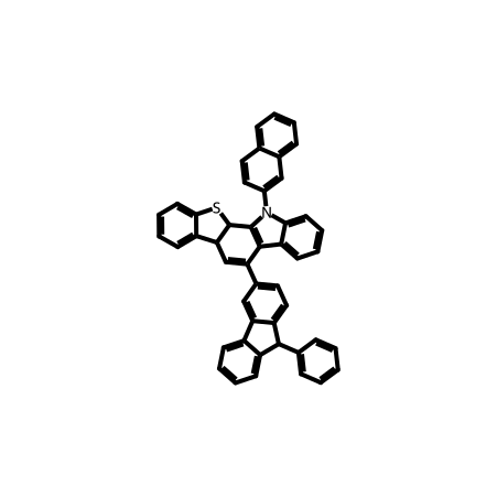 C1=C(c2ccc3c(c2)-c2ccccc2C3c2ccccc2)c2c(n(-c3ccc4ccccc4c3)c3ccccc23)C2Sc3ccccc3C12